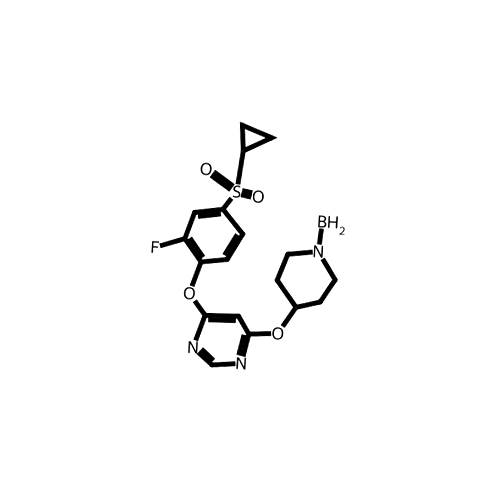 BN1CCC(Oc2cc(Oc3ccc(S(=O)(=O)C4CC4)cc3F)ncn2)CC1